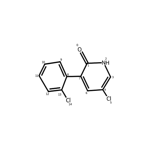 O=c1[nH]cc(Cl)cc1-c1ccccc1Cl